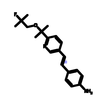 CC(C)(F)COC(C)(C)c1ccc(/C=C/c2ccc(N)cc2)cn1